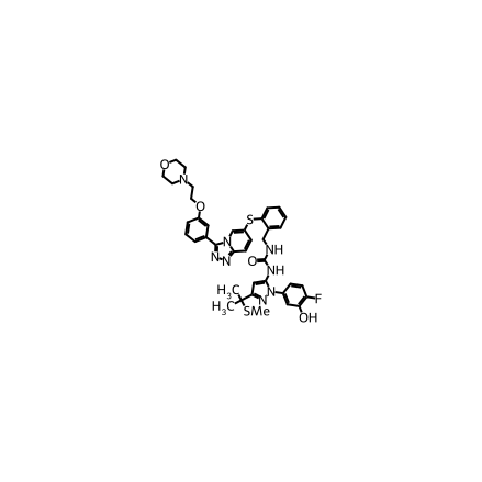 CSC(C)(C)c1cc(NC(=O)NCc2ccccc2Sc2ccc3nnc(-c4cccc(OCCN5CCOCC5)c4)n3c2)n(-c2ccc(F)c(O)c2)n1